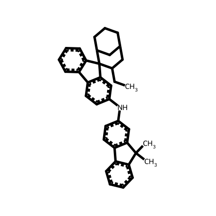 CCC1CC2CCCC(C2)C12c1ccccc1-c1ccc(Nc3ccc4c(c3)C(C)(C)c3ccccc3-4)cc12